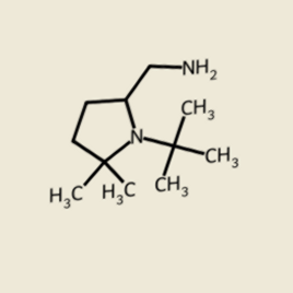 CC(C)(C)N1C(CN)CCC1(C)C